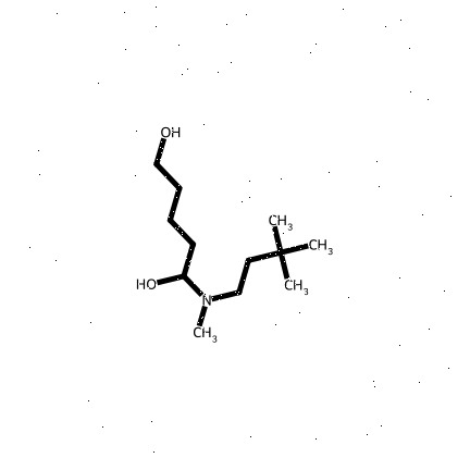 CN(CCC(C)(C)C)C(O)CCCCO